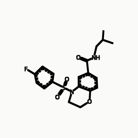 CC(C)CNC(=O)c1ccc2c(c1)N(S(=O)(=O)c1ccc(F)cc1)CCO2